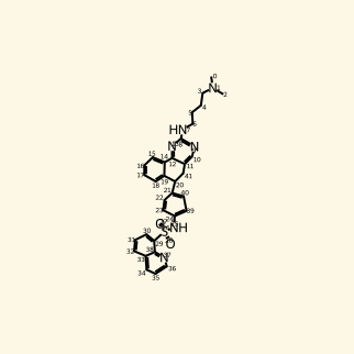 CN(C)CCCCNc1ncc2c(n1)-c1ccccc1C(c1ccc(NS(=O)(=O)c3cccc4cccnc34)cc1)C2